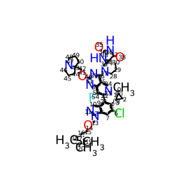 C[C@@H]1C[C@@H]1c1c(Cl)cc2c(cnn2COCC[Si](C)(C)C)c1-c1ncc2c(N3CCC[C@]4(C3)NC(=O)NC4=O)nc(OCC34CCCN3CCC4)nc2c1F